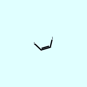 I/[C]=C\I